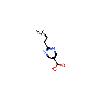 C=CCc1ncc(C([O])=O)cn1